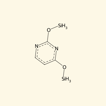 [SiH3]Oc1ccnc(O[SiH3])n1